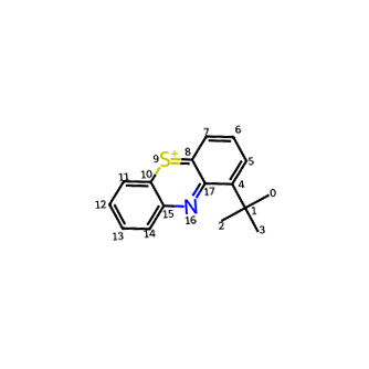 CC(C)(C)c1cccc2[s+]c3ccccc3nc12